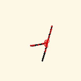 CCCCCCCCCCCCCCCCCCOC(=O)/C=C(/CC(=O)OCCCCCCCCCCCCCCCCCC)C(=O)OCCCCCCCCCCCCCCCCCC